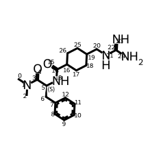 CN(C)C(=O)[C@H](Cc1ccccc1)NC(=O)C1CCC(CNC(=N)N)CC1